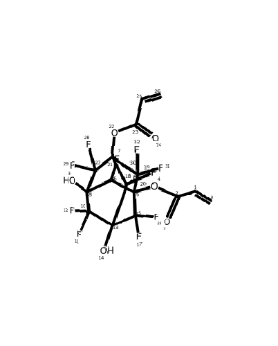 C=CC(=O)OC12C(F)C3(O)C(F)(F)C(O)(C1(F)F)C(F)(F)C(OC(=O)C=C)(C3(F)F)C2(F)F